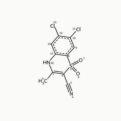 CC1=C(C#N)S(=O)(=O)c2cc(Cl)c(Cl)cc2N1